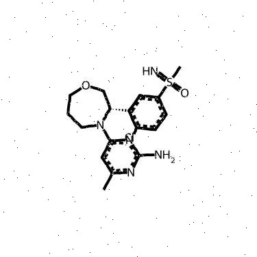 Cc1cc(N2CCCOC[C@@H]2c2cc(S(C)(=N)=O)ccc2Cl)nc(N)n1